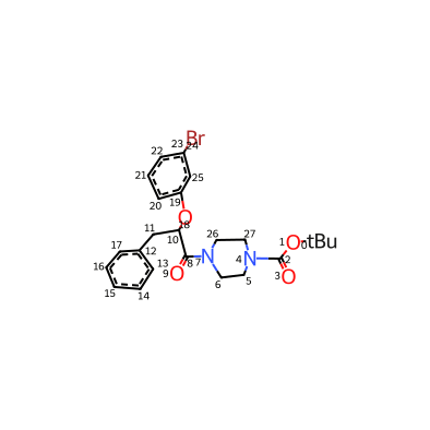 CC(C)(C)OC(=O)N1CCN(C(=O)C(Cc2ccccc2)Oc2cccc(Br)c2)CC1